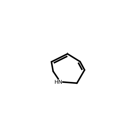 [C]1=CCNCC=C1